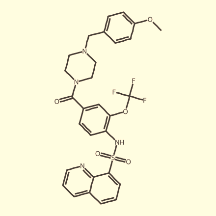 COc1ccc(CN2CCN(C(=O)c3ccc(NS(=O)(=O)c4cccc5cccnc45)c(OC(F)(F)F)c3)CC2)cc1